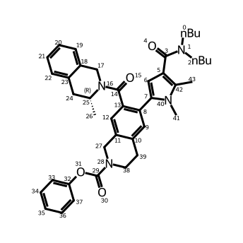 CCCCN(CCCC)C(=O)c1cc(-c2cc3c(cc2C(=O)N2Cc4ccccc4C[C@H]2C)CN(C(=O)Oc2ccccc2)CC3)n(C)c1C